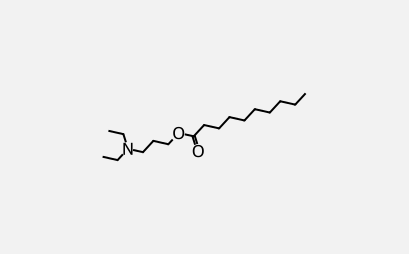 CCCCCCCCCC(=O)OCCCN(CC)CC